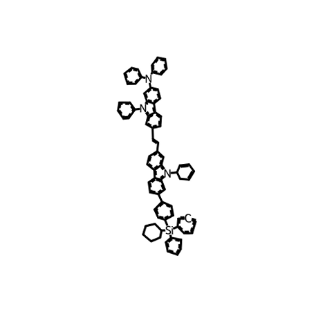 C1=CCC(n2c3cc(/C=C/c4ccc5c6ccc(N(c7ccccc7)c7ccccc7)cc6n(-c6ccccc6)c5c4)ccc3c3ccc(-c4ccc([Si](c5ccccc5)(c5ccccc5)C5CCCCC5)cc4)cc32)C=C1